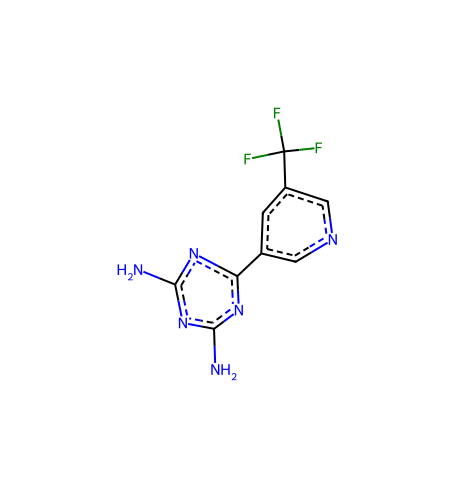 Nc1nc(N)nc(-c2cncc(C(F)(F)F)c2)n1